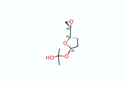 CC(C)(O)O[C@@H]1CC[C@@H]([C@H]2CO2)O1